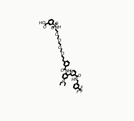 CCN(CC)c1ccc(NC(=O)c2cccc(CCCOCCOCCOCCOCCNS(=O)(=O)c3cccc(C(=O)O)c3)c2)c(-c2cc(C(=O)NCc3cccc(C(F)(F)F)c3)ccn2)c1